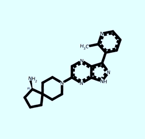 Cc1ncccc1-c1n[nH]c2nc(N3CCC4(CCC[C@H]4N)CC3)cnc12